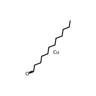 CCCCCCCCCCCC=O.[Cu]